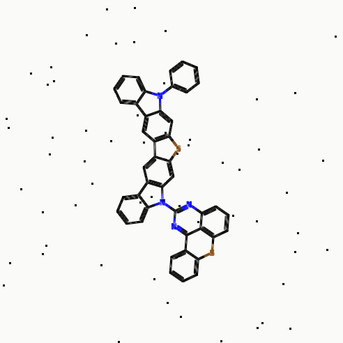 c1ccc(-n2c3ccccc3c3cc4c(cc32)sc2cc3c(cc24)c2ccccc2n3-c2nc3c4c(cccc4n2)Sc2ccccc2-3)cc1